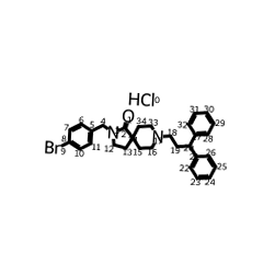 Cl.O=C1N(Cc2ccc(Br)cc2)CCC12CCN(CCC(c1ccccc1)c1ccccc1)CC2